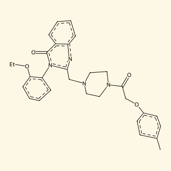 CCOc1ccccc1-n1c(CN2CCN(C(=O)COc3ccc(C)cc3)CC2)nc2ccccc2c1=O